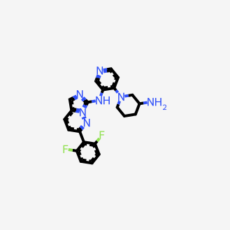 NC1CCCN(c2ccncc2Nc2ncc3ccc(-c4c(F)cccc4F)nn23)C1